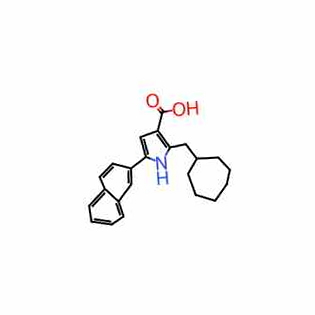 O=C(O)c1cc(-c2ccc3ccccc3c2)[nH]c1CC1CCCCCC1